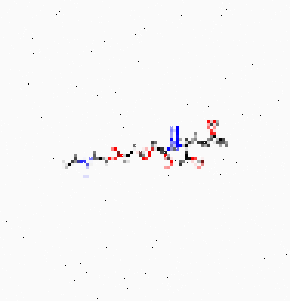 CCNCCOCCOCC(=O)NC(C=O)CCC(C)=O